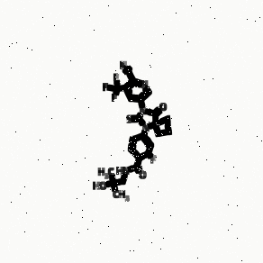 CC(C)(O)CNC(=O)C1C=CC(N2C(=S)N(c3cnc(C#N)c(C(F)(F)F)c3)C(=O)C23CCC3)=CC1F